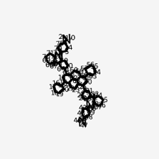 CN(C)c1ccc(N2c3ccc(-c4cc(-c5ccccc5)c5ccc6c(-c7ccc8c(c7)C7(C)CCCCC7(C)N8c7ccc(N(C)C)cc7)cc(-c7ccccc7)c7ccc4c5c76)cc3C3(C)CCCCC23C)cc1